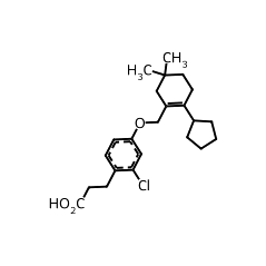 CC1(C)CCC(C2CCCC2)=C(COc2ccc(CCC(=O)O)c(Cl)c2)C1